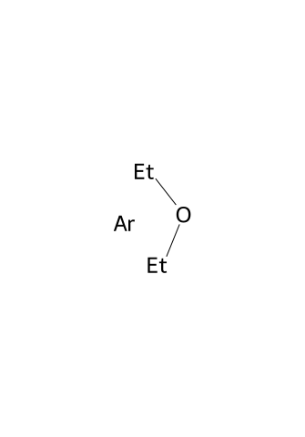 CCOCC.[Ar]